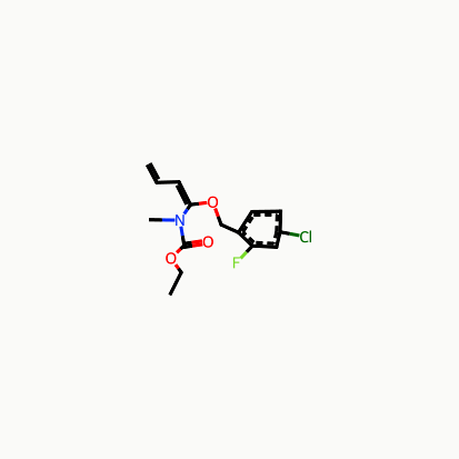 C=C/C=C(/OCc1ccc(Cl)cc1F)N(C)C(=O)OCC